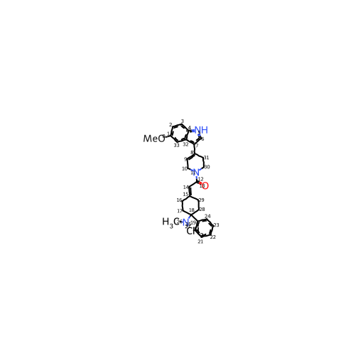 COc1ccc2[nH]cc(C3=CCN(C(=O)C=C4CCC(c5ccccc5)(N(C)C)CC4)CC3)c2c1